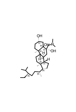 CC[C@H](CC[C@@H](C)[C@H]1CC[C@H]2[C@@H]3C[C@](O)(CN(C)C)[C@@]4(O)C[C@@H](O)CC[C@]4(C)[C@H]3CC[C@]12C)C(C)C